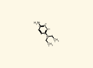 CCN(CC)c1ccc(N)nn1